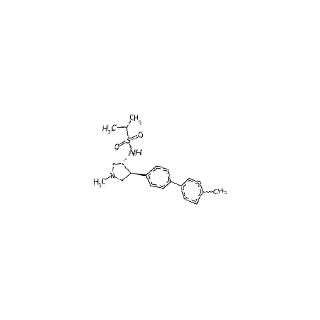 Cc1ccc(-c2ccc([C@H]3CN(C)C[C@@H]3NS(=O)(=O)C(C)C)cc2)cc1